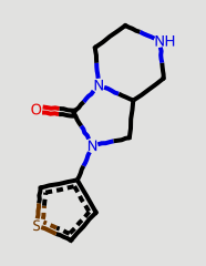 O=C1N(c2ccsc2)CC2CNCCN12